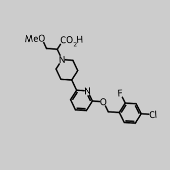 COCC(C(=O)O)N1CCC(c2cccc(OCc3ccc(Cl)cc3F)n2)CC1